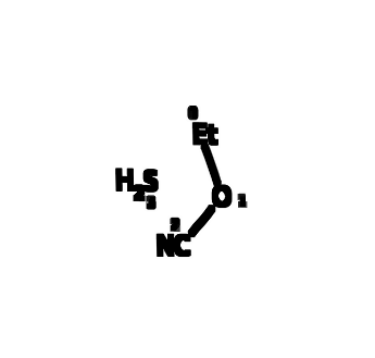 CCOC#N.S